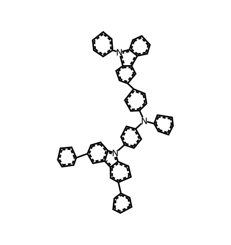 c1ccc(-c2ccc3c(c2)c2cc(-c4ccccc4)ccc2n3-c2ccc(N(c3ccccc3)c3ccc(-c4ccc5c(c4)c4ccccc4n5-c4ccccc4)cc3)cc2)cc1